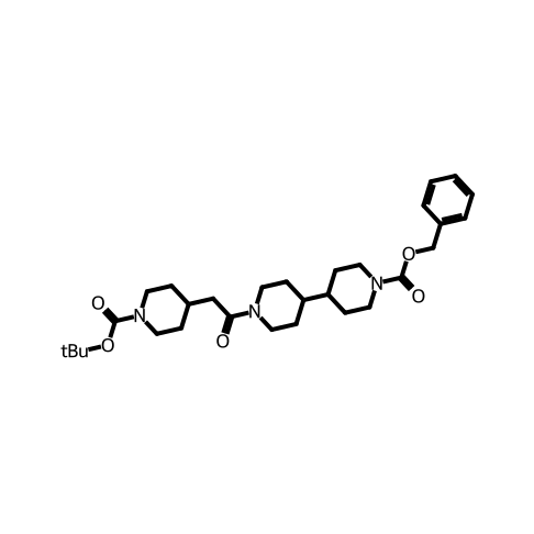 CC(C)(C)OC(=O)N1CCC(CC(=O)N2CCC(C3CCN(C(=O)OCc4ccccc4)CC3)CC2)CC1